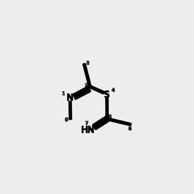 C/N=C(/C)SC(C)=N